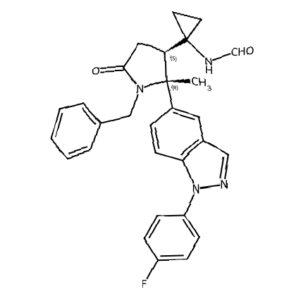 C[C@]1(c2ccc3c(cnn3-c3ccc(F)cc3)c2)[C@H](C2(NC=O)CC2)CC(=O)N1Cc1ccccc1